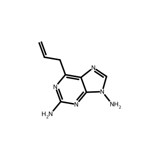 C=CCc1nc(N)nc2c1ncn2N